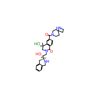 CC1(C)CN(C[C@@H](O)[C@@H]2Cc3ccccc3CN2)C(=O)c2ccc(C(=O)N3CCC4(CCN4)CC3)cc21.Cl